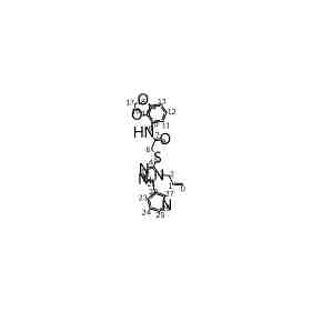 C=CCn1c(SCC(=O)Nc2cccc3c2OCO3)nnc1-c1cccnc1